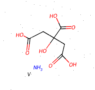 N.O=C(O)CC(O)(CC(=O)O)C(=O)O.[V]